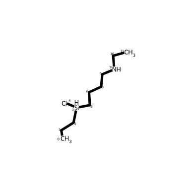 CCC[SiH](Cl)CCCCNCC